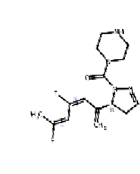 C=C(/C=C(F)\C=C(/C)F)[C@@H]1CC=NN1C(=O)N1CCNCC1